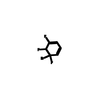 FC1=CC=CC(F)(Br)C1F